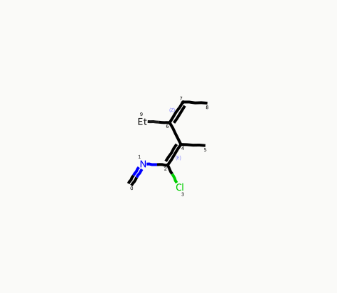 C=N/C(Cl)=C(C)\C(=C/C)CC